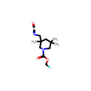 CC1(C)CN(C(=O)OCF)CC(C)(CN=C=O)C1